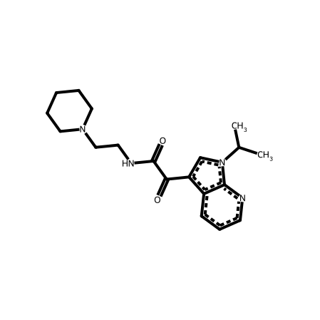 CC(C)n1cc(C(=O)C(=O)NCCN2CCCCC2)c2cccnc21